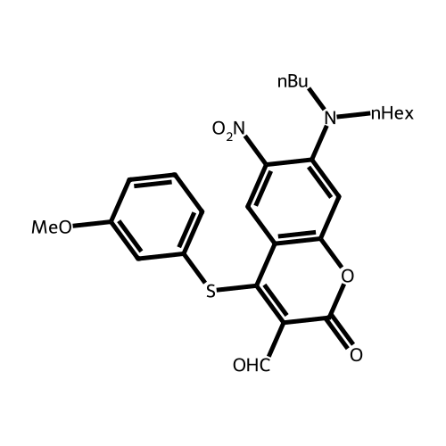 CCCCCCN(CCCC)c1cc2oc(=O)c(C=O)c(Sc3cccc(OC)c3)c2cc1[N+](=O)[O-]